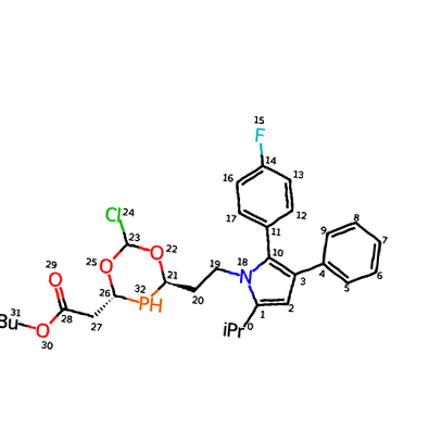 CC(C)c1cc(-c2ccccc2)c(-c2ccc(F)cc2)n1CC[C@@H]1OC(Cl)O[C@@H](CC(=O)OC(C)(C)C)P1